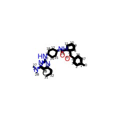 Cc1ccc(C(=O)c2ccccc2C(=O)NC2CCC(Nc3nc4c(c(N(C)C)n3)CCCC4)CC2)cc1